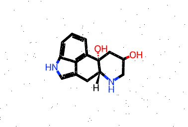 OC1CN[C@@H]2Cc3c[nH]c4cccc(c34)[C@@]2(O)C1